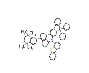 CC1(C)CCC(C)(C)c2cc(-c3ccc(-c4cc5c(cc4N(c4ccccc4)c4cccc6c4sc4ccccc46)C(c4ccccc4)(c4ccccc4)c4ccccc4-5)cc3)ccc21